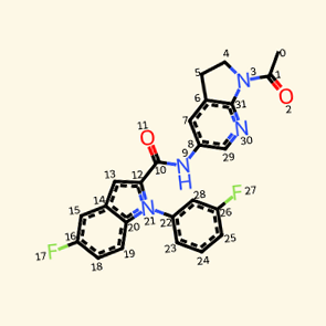 CC(=O)N1CCc2cc(NC(=O)c3cc4cc(F)ccc4n3-c3cccc(F)c3)cnc21